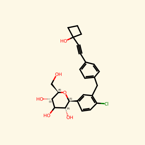 OC[C@H]1O[C@@H](c2ccc(Cl)c(Cc3ccc(C#CC4(O)CCC4)cc3)c2)[C@H](O)C(O)[C@@H]1O